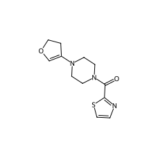 O=C(c1nccs1)N1CCN(C2=COCC2)CC1